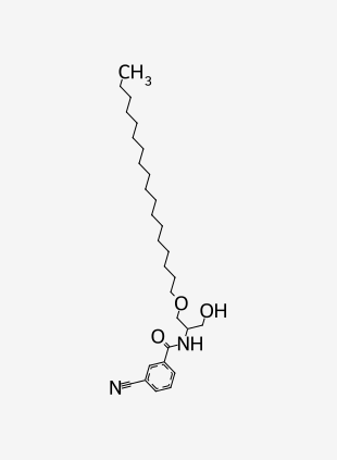 CCCCCCCCCCCCCCCCCCOCC(CO)NC(=O)c1cccc(C#N)c1